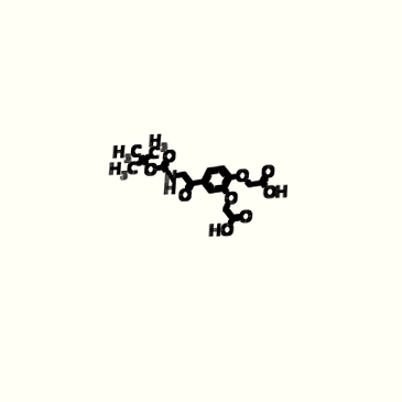 CC(C)(C)OC(=O)NCC(=O)c1ccc(OCC(=O)O)c(OCC(=O)O)c1